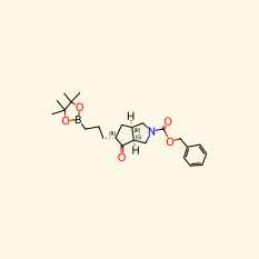 CC1(C)OB(CCC[C@@H]2C[C@H]3CN(C(=O)OCc4ccccc4)C[C@H]3C2=O)OC1(C)C